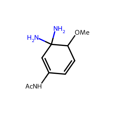 COC1C=CC(NC(C)=O)=CC1(N)N